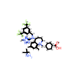 CC(C)(C)N.Cc1cc(C)c2c(c1)[C@@H](N(Cc1cc(C(F)(F)F)cc(C(F)(F)F)c1)c1nnn(C)n1)CCCN2C[C@H]1CC[C@H](C(=O)O)CC1